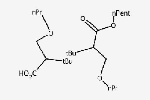 CCCCCOC(=O)C(COCCC)C(C)(C)C.CCCOCC(C(=O)O)C(C)(C)C